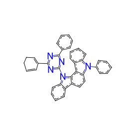 C1=CC(c2nc(-c3ccccc3)nc(-n3c4ccccc4c4ccc5c(c6ccccc6n5-c5ccccc5)c43)n2)=CCC1